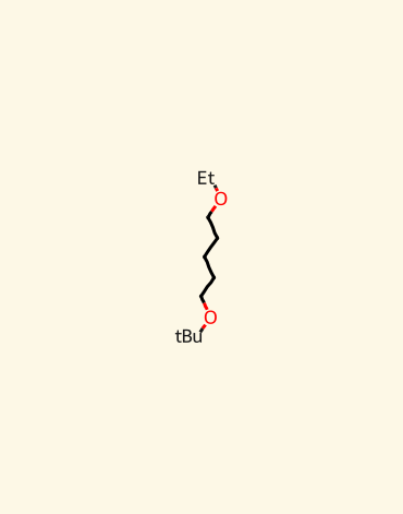 CCOCCCCCOC(C)(C)C